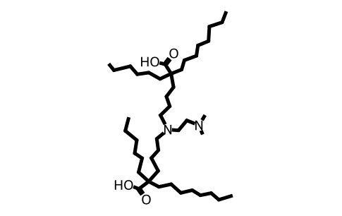 CCCCCCCCC(CCCCCC)(CCCCN(CCCCC(CCCCCC)(CCCCCCCC)C(=O)O)CCN(C)C)C(=O)O